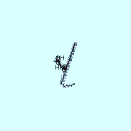 CCCCC/C=C\C/C=C\CCCCCCCC(CCCCCCCCCCCCCCCCCC)OC(=O)NCCCOC(C)(C)CO